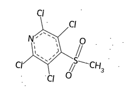 CS(=O)(=O)c1c(Cl)c(Cl)nc(Cl)c1Cl